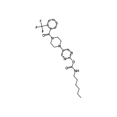 CCCCCCNC(=O)Oc1ncc(N2CCN(C(=O)c3ccccc3C(F)(F)F)CC2)cn1